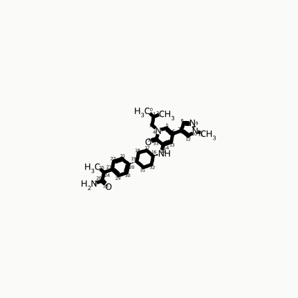 CC(C)Cn1cc(-c2cnn(C)c2)cc(N[C@H]2CC[C@@H](c3ccc(C(C)C(N)=O)cc3)CC2)c1=O